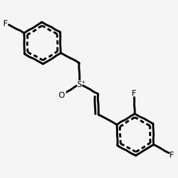 [O-][S+](/C=C/c1ccc(F)cc1F)Cc1ccc(F)cc1